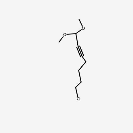 COC(C#CCCCCCl)OC